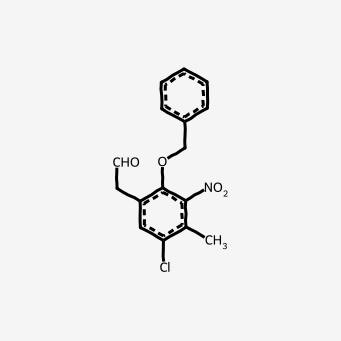 Cc1c(Cl)cc(CC=O)c(OCc2ccccc2)c1[N+](=O)[O-]